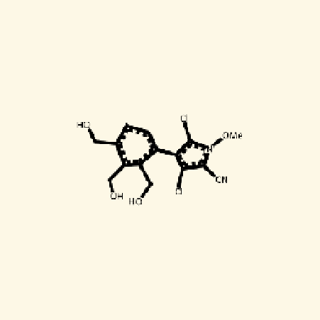 COn1c(Cl)c(-c2ccc(CO)c(CO)c2CO)c(Cl)c1C#N